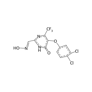 O=c1[nH]c(/C=N/O)nc(C(F)(F)F)c1Oc1ccc(Cl)c(Cl)c1